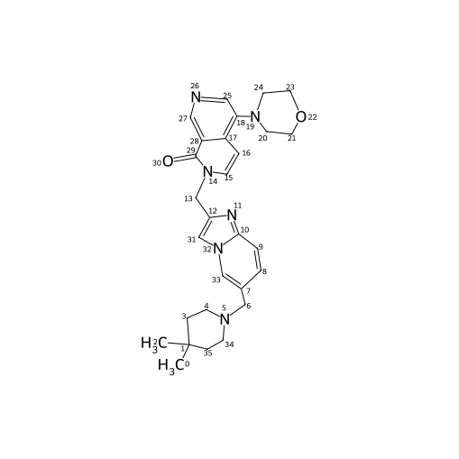 CC1(C)CCN(Cc2ccc3nc(Cn4ccc5c(N6CCOCC6)cncc5c4=O)cn3c2)CC1